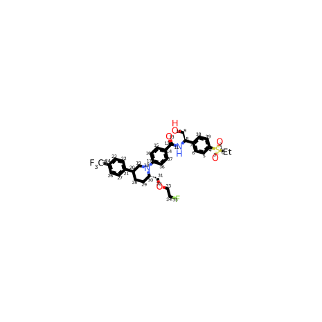 CCS(=O)(=O)c1ccc([C@H](CO)NC(=O)c2ccc(N3CC(c4ccc(C(F)(F)F)cc4)CC[C@H]3COCCF)cc2)cc1